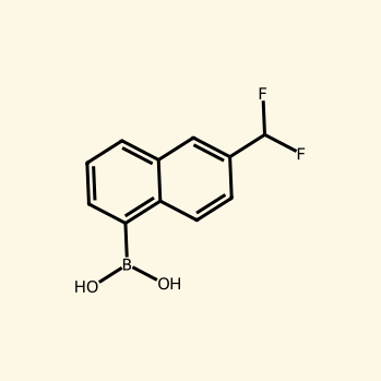 OB(O)c1cccc2cc(C(F)F)ccc12